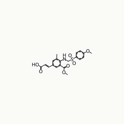 COC(=O)c1cc(/C=C/C(=O)O)cc(C)c1NCS(=O)(=O)c1ccc(OC)cc1